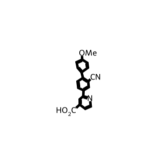 COc1ccc(-c2ccc(-c3cc(C(=O)O)ccn3)cc2C#N)cc1